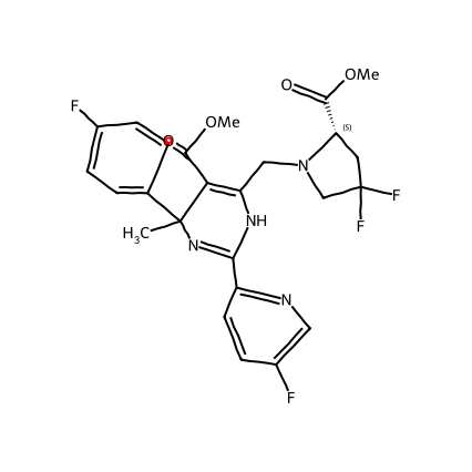 COC(=O)C1=C(CN2CC(F)(F)C[C@H]2C(=O)OC)NC(c2ccc(F)cn2)=NC1(C)c1ccc(F)cc1